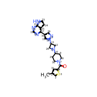 Cc1csc(C(=O)N2CCC(N3C[C](n4cc(-c5ncnc6[nH]ccc56)cn4)C3)CC2)c1